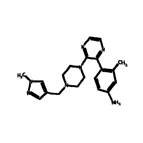 Cc1cc(N)ccc1-c1nccnc1N1CCN(Cc2cnn(C)c2)CC1